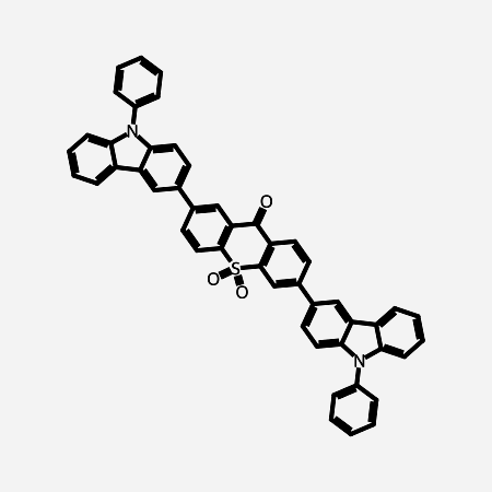 O=C1c2cc(-c3ccc4c(c3)c3ccccc3n4-c3ccccc3)ccc2S(=O)(=O)c2cc(-c3ccc4c(c3)c3ccccc3n4-c3ccccc3)ccc21